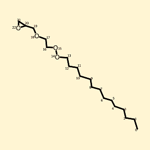 CCCCCCCCCCCCCCOOCCOCC1CO1